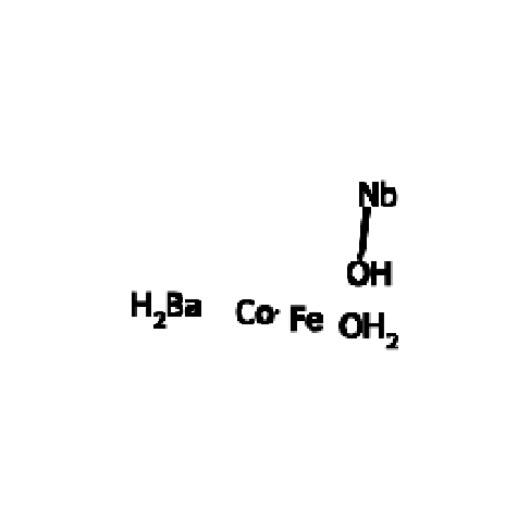 O.[BaH2].[Co].[Fe].[OH][Nb]